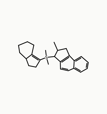 CC1Cc2c(ccc3ccccc23)C1S(C)(C)C1=C2CCCCC2CC1